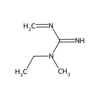 C=NC(=N)N(C)CC